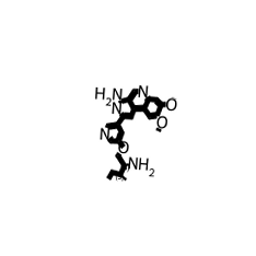 CC[C@H](C)[C@H](N)COc1cncc(-c2cc3c(cnc4cc(OC)c(OC)cc43)c(N)n2)c1